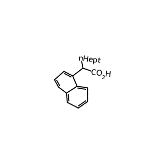 CCCCCCCC(C(=O)O)c1cccc2ccccc12